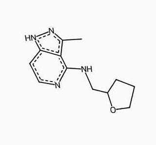 Cc1n[nH]c2ccnc(NCC3CCCO3)c12